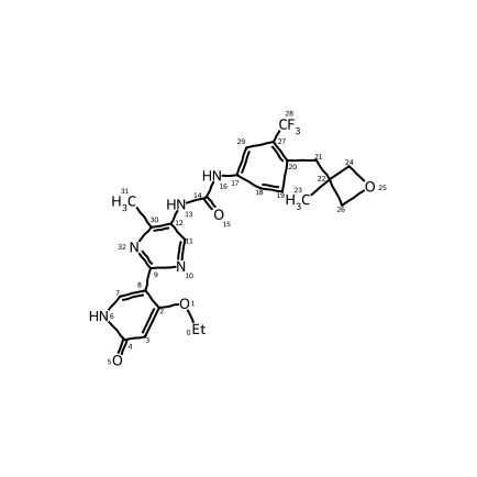 CCOc1cc(=O)[nH]cc1-c1ncc(NC(=O)Nc2ccc(CC3(C)COC3)c(C(F)(F)F)c2)c(C)n1